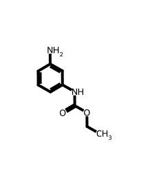 CCOC(=O)Nc1cccc(N)c1